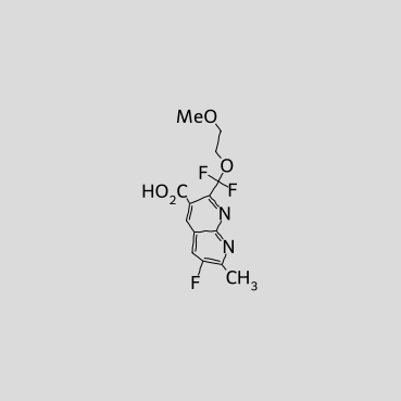 COCCOC(F)(F)c1nc2nc(C)c(F)cc2cc1C(=O)O